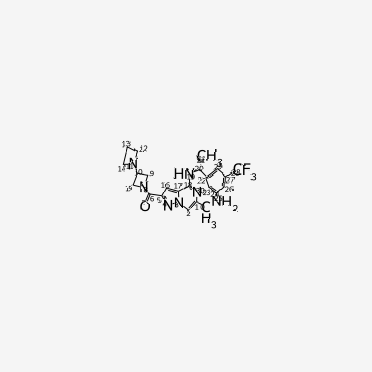 Cc1cn2nc(C(=O)N3CC(N4CCC4)C3)cc2c(N[C@H](C)c2cc(N)cc(C(F)(F)F)c2)n1